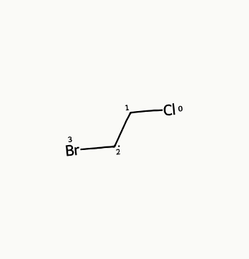 ClC[CH]Br